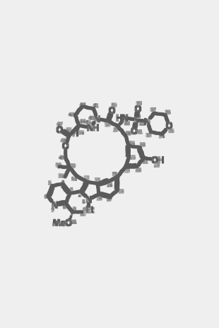 CCn1c(-c2cccnc2[C@H](C)OC)c2c3cc(ccc31)-c1cc(O)cc(c1)C[C@H](NS(=O)(=O)N1CCOCC1)C(=O)N1CCC[C@H](N1)C(=O)OCC(C)(C)C2